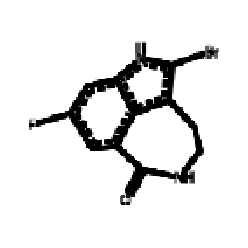 O=C1NCCc2c(Br)[nH]c3cc(F)cc1c23